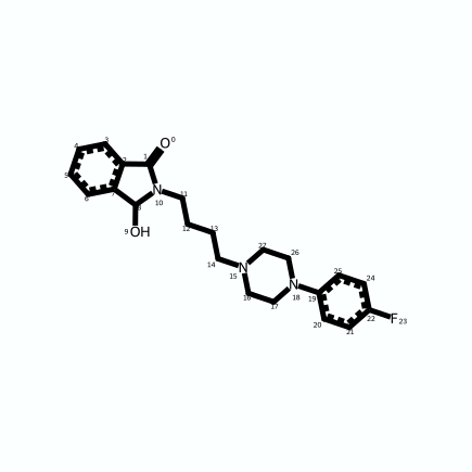 O=C1c2ccccc2C(O)N1CCCCN1CCN(c2ccc(F)cc2)CC1